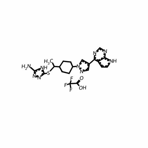 CC(Sc1nnc(N)[nH]1)C1CCC(n2cc(-c3ncnc4[nH]ccc34)cn2)CC1.O=C(O)C(F)(F)F